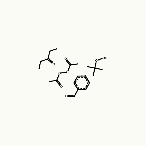 CC(=O)OOC(C)=O.CC(C)(C)OO.CCC(=O)CC.O=[C]c1ccccc1